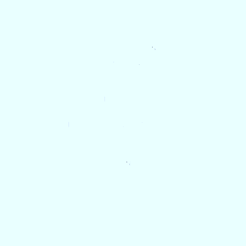 CCC(OC1(C(F)(F)F)C=CC=C(C(=N)Cl)C1O)N1CCCCC1.Cl